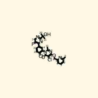 Cc1cccc(COc2nc(C)n(-c3cc(-c4nc(C(C)(C)O)ncc4F)ccc3Cl)c(=O)c2Cl)n1